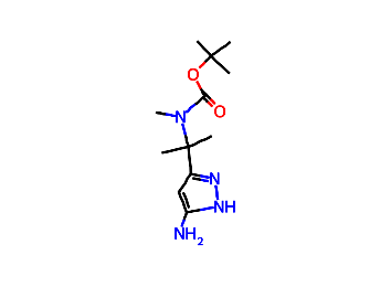 CN(C(=O)OC(C)(C)C)C(C)(C)c1cc(N)[nH]n1